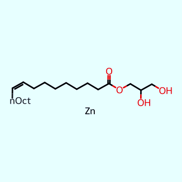 CCCCCCCC/C=C\CCCCCCCC(=O)OCC(O)CO.[Zn]